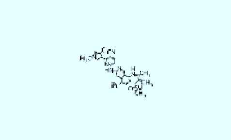 CC(C)c1ccc(N[C@H](C)[C@H](C)CS(C)(=O)=O)c2cnc(Nc3ccc(C#N)c(-c4cn(C)nc4Cl)n3)cc12